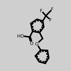 O=C(O)c1ccc(C(F)(F)F)cc1COc1ccccc1